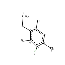 COCc1c(C)cc(C#N)c(F)c1C